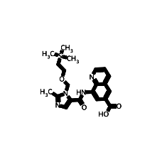 Cc1ncc(C(=O)Nc2cc(C(=O)O)cc3cccnc23)n1COCC[Si](C)(C)C